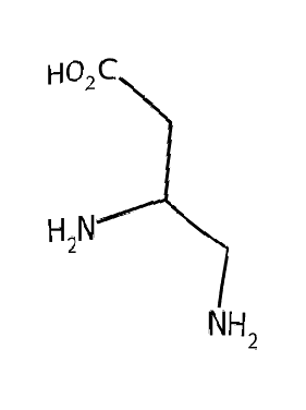 NCC(N)CC(=O)O